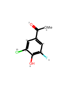 COC(=O)c1cc(F)c(O)c(Cl)c1